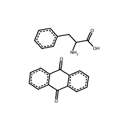 NC(Cc1ccccc1)C(=O)O.O=C1c2ccccc2C(=O)c2ccccc21